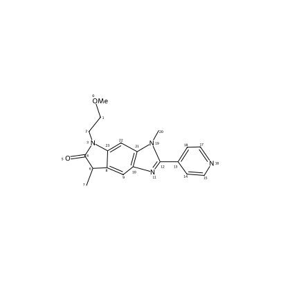 COCCN1C(=O)C(C)c2cc3nc(-c4ccncc4)n(C)c3cc21